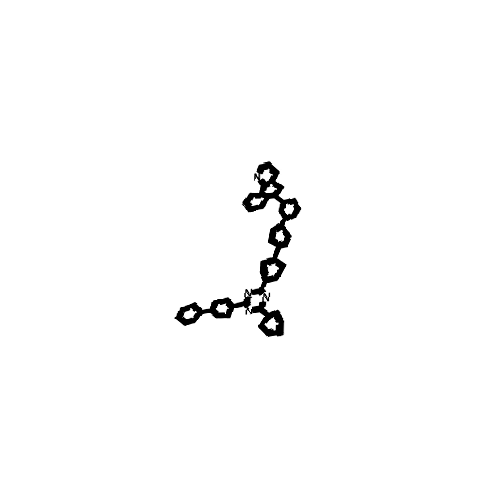 c1ccc(-c2ccc(-c3nc(-c4ccccc4)nc(-c4ccc(-c5ccc(-c6cccc(-c7cc8cccnc8c8ccccc78)c6)cc5)cc4)n3)cc2)cc1